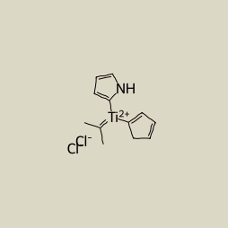 C[C](C)=[Ti+2]([C]1=CC=CC1)[c]1ccc[nH]1.[Cl-].[Cl-]